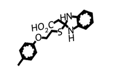 Cc1ccc(OCCSC2(CC(=O)O)Nc3ccccc3N2)cc1